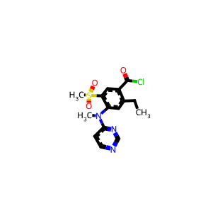 CCc1cc(N(C)c2ccncn2)c(S(C)(=O)=O)cc1C(=O)Cl